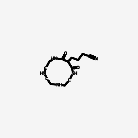 N#CCCCC1C(=O)NCCNCCNCCNC1=O